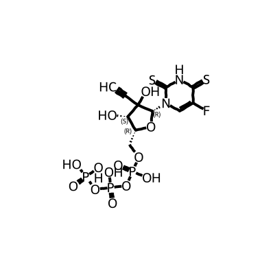 C#CC1(O)[C@@H](O)[C@@H](COP(=O)(O)OP(=O)(O)OP(=O)(O)O)O[C@H]1n1cc(F)c(=S)[nH]c1=S